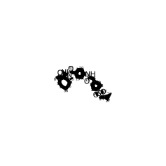 CC1ONC(N(C)C(=O)c2ccc(NC(=O)Cc3ccc(S(=O)(=O)CC4CC4)cc3)cc2)C12CCCCCCC2